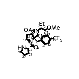 CC[C@@H](NC(=O)[C@@]1(Cc2ccc(C(F)(F)F)cc2)[C@H](OC(C)=O)CCN1C(=O)[C@@H]1CCCN1)C(=O)OC